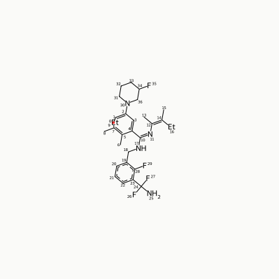 C\C=C(/C=C(C(\C)=C(\C)CC)/C(=N\C(C)=C(\C)CC)NCc1cccc(C(N)(F)F)c1F)N1CCCC(F)C1